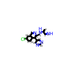 C=C(C=N)NCc1ncc2cc(Cl)ccc2c1-c1cncnc1